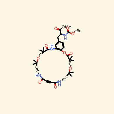 COC(=O)[C@H](Cc1ccc2c(c1)NC(=O)C(C)(C)COC(C)(C)CCNC(=O)C#CC(=O)NCCC(C)(C)OCC(C)(C)C(=O)O2)NC(=O)OC(C)(C)C